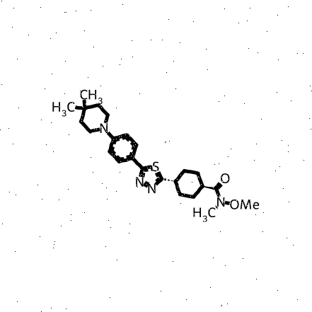 CON(C)C(=O)[C@H]1CC[C@H](c2nnc(-c3ccc(N4CCC(C)(C)CC4)cc3)s2)CC1